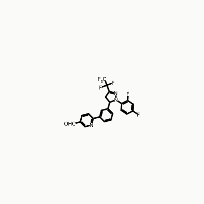 O=Cc1ccc(-c2cccc(C3CC(C(F)(F)C(F)(F)F)=NN3c3ccc(F)cc3F)c2)nc1